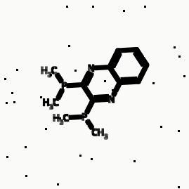 CP(C)c1nc2ccccc2nc1P(C)C